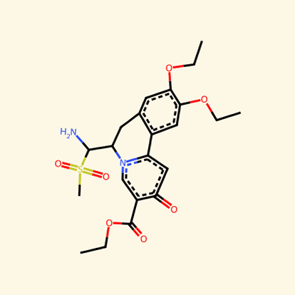 CCOC(=O)c1cn2c(cc1=O)-c1cc(OCC)c(OCC)cc1CC2C(N)S(C)(=O)=O